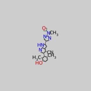 Cc1ccc(O)c(C)c1-c1cnc2[nH]c(-c3cnc(N(C)C4COC4)nc3)cc2c1C#N